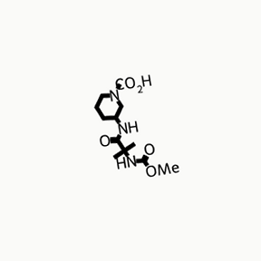 COC(=O)NC(C)(C)C(=O)NC1CCCN(C(=O)O)C1